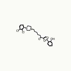 O=C(CCCCCN1CCN(c2cccc(Cl)c2Cl)CC1)C1=COC(c2ccccc2O)O1